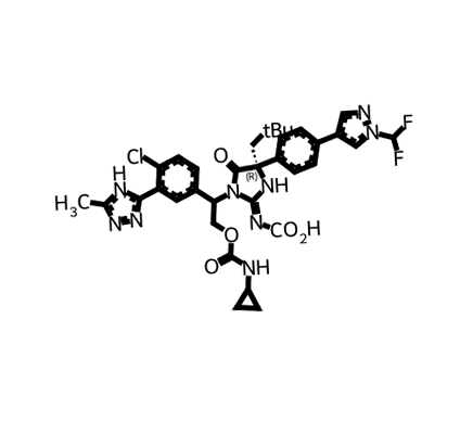 Cc1nnc(-c2cc(C(COC(=O)NC3CC3)N3C(=O)[C@@](CC(C)(C)C)(c4ccc(-c5cnn(C(F)F)c5)cc4)NC3=NC(=O)O)ccc2Cl)[nH]1